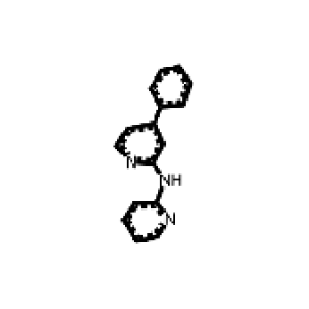 c1ccc(-c2ccnc(Nc3ccccn3)c2)cc1